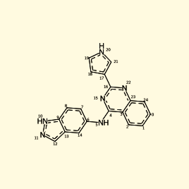 c1ccc2c(Nc3ccc4[nH]ncc4c3)nc(-c3cc[nH]c3)nc2c1